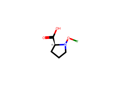 O=C(O)[C@@H]1CCCN1OF